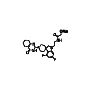 COCC(=O)NCCN1CC2(CCN(c3nc4c(c(=O)[nH]3)CCCC4)CC2)c2c(F)cc(F)cc21